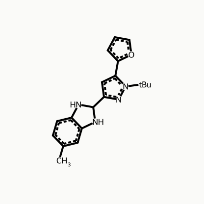 Cc1ccc2c(c1)NC(c1cc(-c3ccco3)n(C(C)(C)C)n1)N2